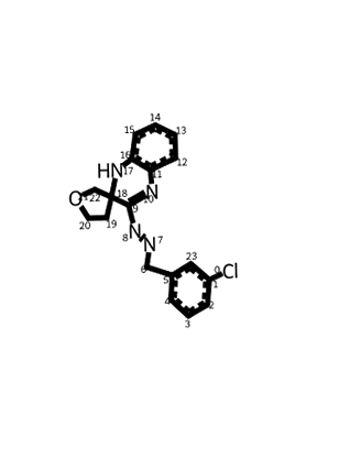 Clc1cccc(CN=NC2=Nc3ccccc3NC23CCOC3)c1